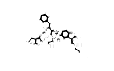 CCCNC=C1C(=O)Nc2ccc(S(=O)(=O)N(CC(C)C)CC(O)C(Cc3ccccc3)NC(=O)OC3COC4OCCC34)cc21